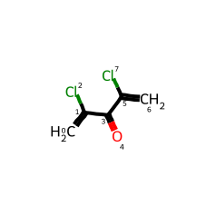 C=C(Cl)C(=O)C(=C)Cl